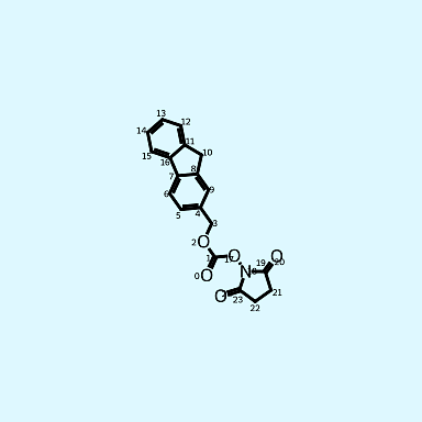 O=C(OCc1ccc2c(c1)Cc1ccccc1-2)ON1C(=O)CCC1=O